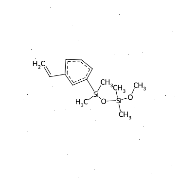 C=Cc1cccc([Si](C)(C)O[Si](C)(C)OC)c1